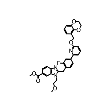 COCCn1c(Cc2ccc(-c3cccc(OCc4cccc5c4OCCO5)n3)cc2F)nc2ccc(C(=O)OC)cc21